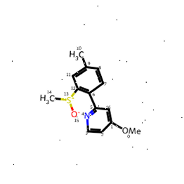 COc1ccnc(-c2ccc(C)cc2[S+](C)[O-])c1